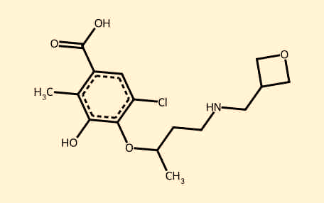 Cc1c(C(=O)O)cc(Cl)c(OC(C)CCNCC2COC2)c1O